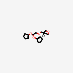 CCC1(COCC(OC2=CCCC2)OC2=CCCC2)COC1